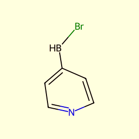 BrBc1ccncc1